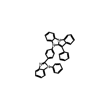 c1ccc(-c2c3ccccc3n3c4ccccc4n(-c4ccc(-c5nc6ccccc6n5-c5ccccc5)cc4)c23)cc1